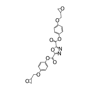 O=C(Oc1ccc(OCC2CO2)cc1)c1nnc(C(=O)Oc2ccc(OCC3CO3)cc2)o1